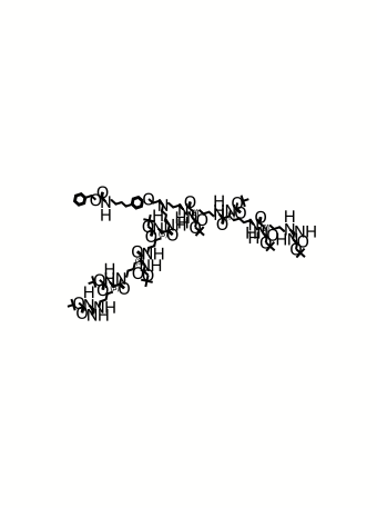 CC(C)(C)OC(=O)NC(=N)NCCCC[C@H](NC(=O)OC(C)(C)C)C(=O)NCCCC[C@H](NC(=O)OC(C)(C)C)C(=O)NCCCC[C@H](NC(=O)OC(C)(C)C)C(=O)NCCCN(CCCNC(=O)[C@H](CCCCNC(=O)[C@H](CCCCNC(=O)[C@H](CCCCNC(=N)NC(=O)OC(C)(C)C)NC(=O)OC(C)(C)C)NC(=O)OC(C)(C)C)NC(=O)OC(C)(C)C)CCOc1ccc(CCCCNC(=O)OCc2ccccc2)cc1